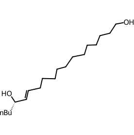 CCCC[C@H](O)C=CCCCCCCCCCCCCO